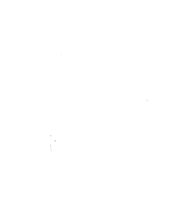 [O]CC1OCCNCC1c1ccc(Cl)c(Cl)c1